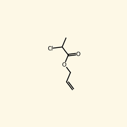 C=CCOC(=O)C(C)Cl